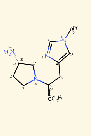 CCCn1cnc(C[C@@H](C(=O)O)N2CC[C@H](N)C2)c1